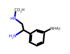 CC(=O)Nc1cccc(C(N)CNC(=O)O)c1